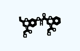 CCC1CN(C(=O)CCl)c2ccc(ONC(=O)C3CN(C(=O)CCl)c4ccccc4O3)cc2O1